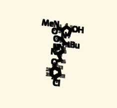 CNC(=O)[C@H]1CC(O)CN1C(=O)C(n1cc(COc2ccc(Cl)cc2)nn1)C(C)(C)C